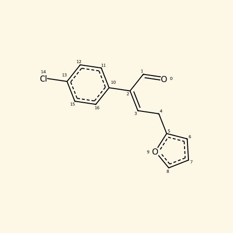 O=CC(=CCc1ccco1)c1ccc(Cl)cc1